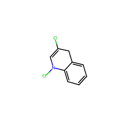 ClC1=CN(Cl)c2ccccc2C1